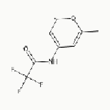 CC1=CC(NC(=O)C(F)(F)F)=C[C]O1